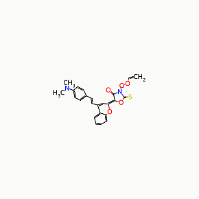 C=COON1C(=O)/C(=C2C=C(/C=C/c3ccc(N(C)C)cc3)c3ccccc3O\2)OC1=S